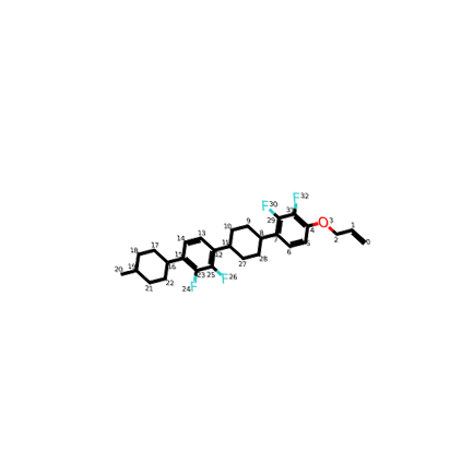 C=CCOc1ccc(C2CCC(c3ccc(C4CCC(C)CC4)c(F)c3F)CC2)c(F)c1F